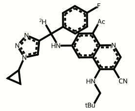 [2H]C(Nc1cc(C(C)=O)c2ncc(C#N)c(NCC(C)(C)C)c2c1)(c1ccc(F)cc1)c1cn(C2CC2)nn1